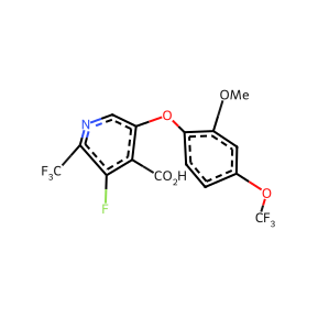 COc1cc(OC(F)(F)F)ccc1Oc1cnc(C(F)(F)F)c(F)c1C(=O)O